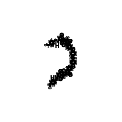 C=Cc1ccc(CNC2CC(=O)N(CC(CC)(CC)N3C(=O)c4ccc(Oc5ccc(C(C)(C)c6ccc(Oc7ccc8c(c7)C(=O)N(CC(CC)(CC)N7C(=O)CC(NCc9ccc(C=C)cc9)C7=O)C8=O)cc6)cc5)cc4C3=O)C2=O)cc1